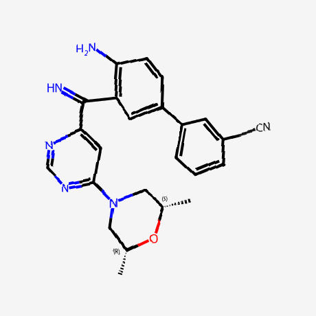 C[C@@H]1CN(c2cc(C(=N)c3cc(-c4cccc(C#N)c4)ccc3N)ncn2)C[C@H](C)O1